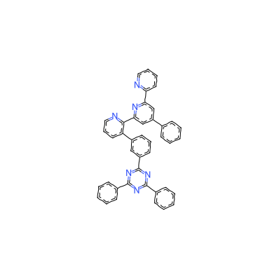 c1ccc(-c2cc(-c3ccccn3)nc(-c3ncccc3-c3cccc(-c4nc(-c5ccccc5)nc(-c5ccccc5)n4)c3)c2)cc1